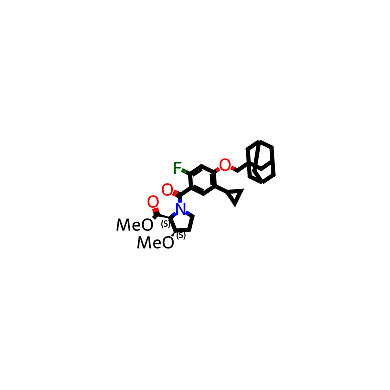 COC(=O)[C@@H]1[C@@H](OC)CCN1C(=O)c1cc(C2CC2)c(OCC23CC4CC(CC(C4)C2)C3)cc1F